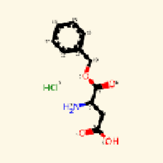 Cl.NC(CC(=O)O)C(=O)OCc1ccccc1